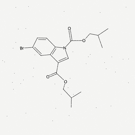 CC(C)COC(=O)c1cn(C(=O)OCC(C)C)c2ccc(Br)cc12